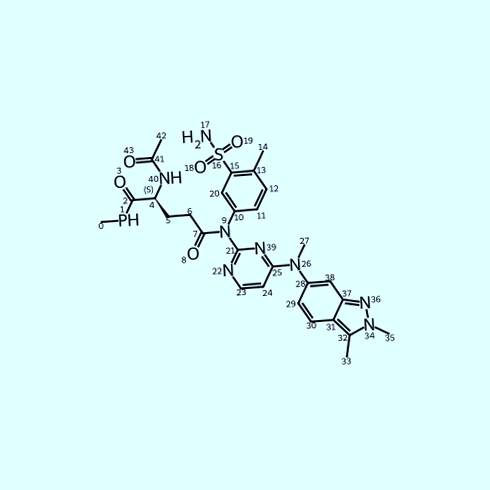 CPC(=O)[C@H](CCC(=O)N(c1ccc(C)c(S(N)(=O)=O)c1)c1nccc(N(C)c2ccc3c(C)n(C)nc3c2)n1)NC(C)=O